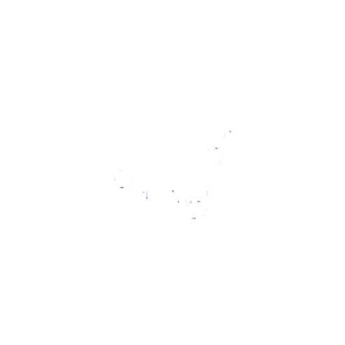 CN(CC(O)COc1ccc(C#N)cc1)C1C2CN(Cc3ccccc3)CC1CN(Cc1ccccc1)C2